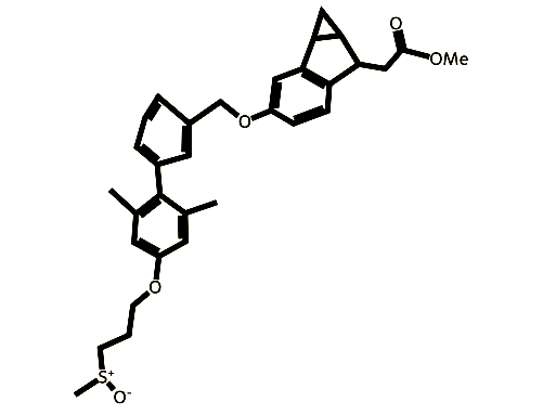 COC(=O)CC1c2ccc(OCc3cccc(-c4c(C)cc(OCCC[S+](C)[O-])cc4C)c3)cc2C2CC12